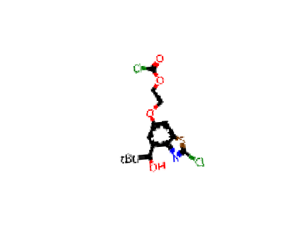 CC(C)(C)C(O)c1cc(OCCOC(=O)Cl)cc2sc(Cl)nc12